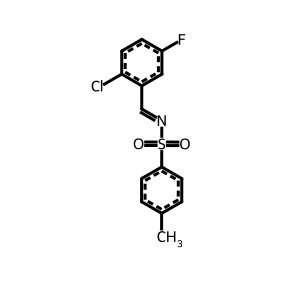 Cc1ccc(S(=O)(=O)N=Cc2cc(F)ccc2Cl)cc1